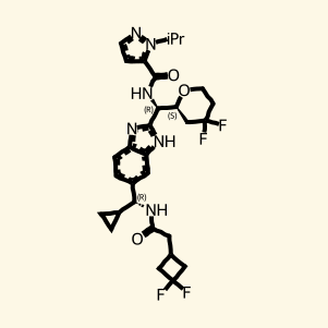 CC(C)n1nccc1C(=O)N[C@H](c1nc2ccc([C@H](NC(=O)CC3CC(F)(F)C3)C3CC3)cc2[nH]1)[C@@H]1CC(F)(F)CCO1